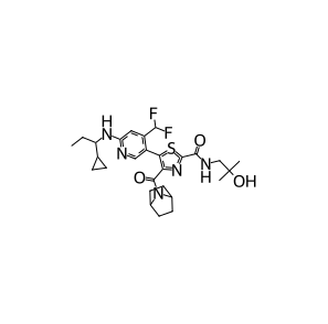 CCC(Nc1cc(C(F)F)c(-c2sc(C(=O)NCC(C)(C)O)nc2C(=O)N2C3CCC2CC3)cn1)C1CC1